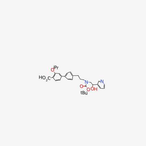 CC(C)Oc1cc(-c2ccc(CCCN(C[C@H](O)c3cccnc3)C(=O)OC(C)(C)C)cc2)ccc1C(=O)O